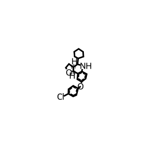 Clc1ccc(Oc2ccc3c(c2)[C@H]2OCC[C@H]2C(C2CCCCC2)N3)cc1